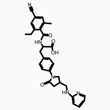 CCc1cc(C#N)cc(C)c1C(=O)NC(Cc1ccc(N2CC(CNc3ccccn3)CC2=O)cc1)C(=O)O